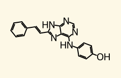 Oc1ccc(Nc2ncnc3[nH]c(C=Cc4ccccc4)nc23)cc1